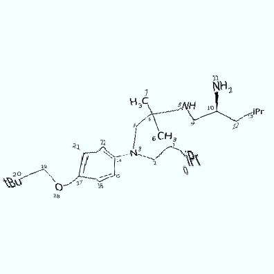 CC(C)CCN(CC(C)(C)NC[C@@H](N)CC(C)C)c1ccc(OCC(C)(C)C)cc1